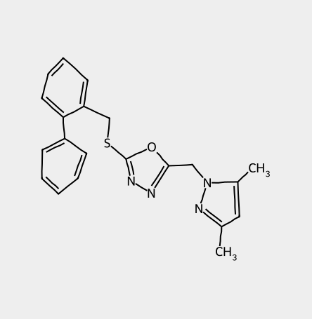 Cc1cc(C)n(Cc2nnc(SCc3ccccc3-c3ccccc3)o2)n1